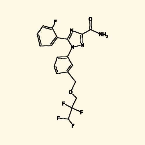 NC(=O)c1nc(-c2ccccc2F)n(-c2cccc(COCC(F)(F)C(F)F)c2)n1